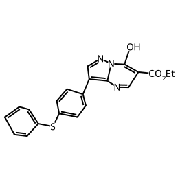 CCOC(=O)c1cnc2c(-c3ccc(Sc4ccccc4)cc3)cnn2c1O